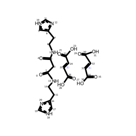 O=C(CC(=O)NCCc1c[nH]cn1)NCCc1c[nH]cn1.O=C(O)/C=C/C(=O)O.O=C(O)/C=C/C(=O)O